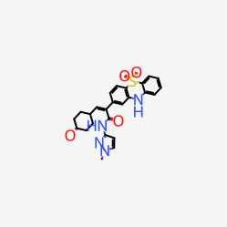 Cn1ccc(NC(=O)C(=CC2CCC(=O)CC2)c2ccc3c(c2)Nc2ccccc2S3(=O)=O)n1